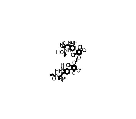 C=CC(=O)Nc1cnn(C)c1-c1n[nH]c2c1CC[C@H](c1c(Cl)c(OC)cc(OCCOc3cc(OC)c(Cl)c([C@@H]4CCc5c(-c6c(NC(O)C=C)cnn6C)n[nH]c5C4)c3Cl)c1Cl)C2